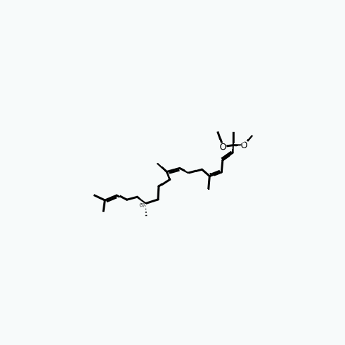 COC(C)(C=CC=C(C)CCC=C(C)CCC[C@H](C)CCC=C(C)C)OC